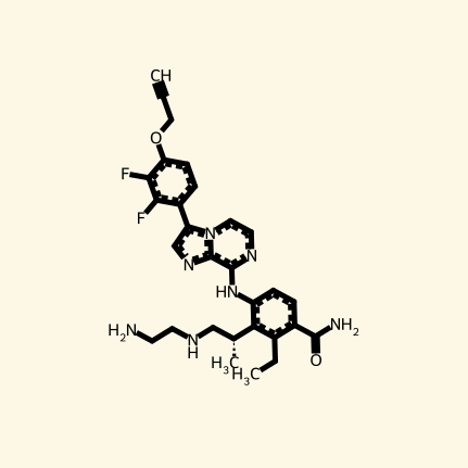 C#CCOc1ccc(-c2cnc3c(Nc4ccc(C(N)=O)c(CC)c4[C@H](C)CNCCN)nccn23)c(F)c1F